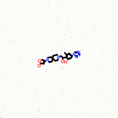 Cc1cc(-n2cnnn2)ccc1C(O)CN1CCC2(CC1)CCN(C1=CC(=O)OC1)CC2